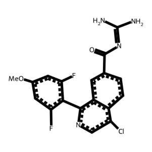 COc1cc(F)c(-c2ncc(Cl)c3ccc(C(=O)N=C(N)N)cc23)c(F)c1